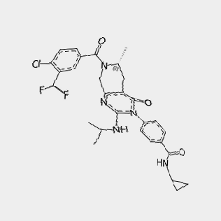 CC(C)Nc1nc2c(c(=O)n1-c1ccc(C(=O)NC3CC3)cc1)C[C@@H](C)N(C(=O)c1ccc(Cl)c(C(F)F)c1)C2